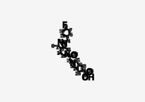 Cc1nn(Cc2ccc(F)cc2)c2c1CCN(C(=O)CN1CC3CC(C(=O)O)CC3C1)C2